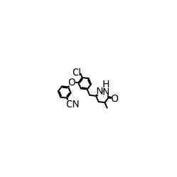 CC1CC(Cc2ccc(Cl)c(Oc3cccc(C#N)c3)c2)=NNC1=O